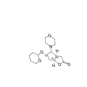 O=C1C[C@@H]2C(N3CCOCC3)[C@@H](OC3CCCCO3)C[C@@H]2O1